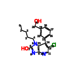 CCCCCn1c(O)nc2ncc(Cl)c(-c3cccc(CO)c3)c21